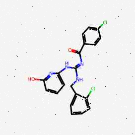 O=C(/N=C(/NCc1ccccc1Cl)Nc1cccc(O)n1)c1ccc(Cl)cc1